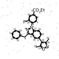 CCOC(=O)c1ccc(-n2nc(Cc3ccccc3)c3cc(-c4c(C)noc4C)ccc32)c(F)c1